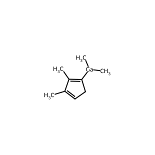 CC1=CC[C]([Ga]([CH3])[CH3])=C1C